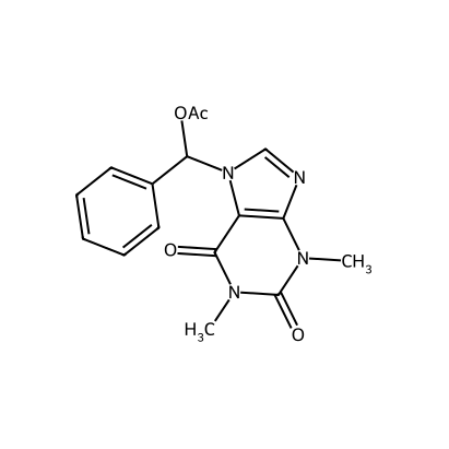 CC(=O)OC(c1ccccc1)n1cnc2c1c(=O)n(C)c(=O)n2C